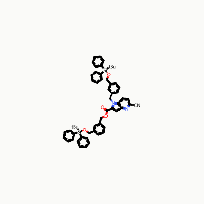 CC(C)(C)[Si](OCc1cccc(COC(=O)c2cc3nc(C#N)ccc3n2Cc2cccc(CO[Si](c3ccccc3)(c3ccccc3)C(C)(C)C)c2)c1)(c1ccccc1)c1ccccc1